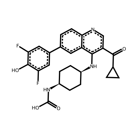 O=C(O)N[C@H]1CC[C@@H](Nc2c(C(=O)C3CC3)cnc3ccc(-c4cc(F)c(O)c(F)c4)cc23)CC1